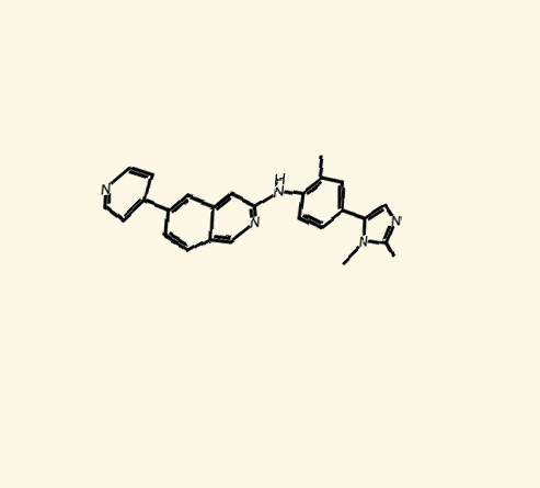 Cc1cc(-c2cnc(C)n2C)ccc1Nc1cc2cc(-c3ccncc3)ccc2cn1